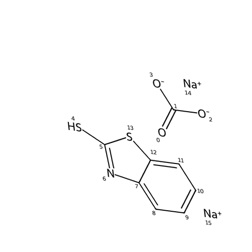 O=C([O-])[O-].Sc1nc2ccccc2s1.[Na+].[Na+]